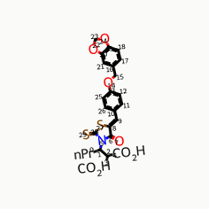 CCCC(C(C(=O)O)C(=O)O)N1C(=O)C(=Cc2ccc(OCc3ccc4c(c3)OCO4)cc2)SC1=S